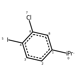 C[C](C)c1ccc(I)c(Cl)c1